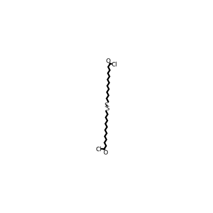 O=C(Cl)CCCCCCCCCCCCSSCCCCCCCCCCCCC(=O)Cl